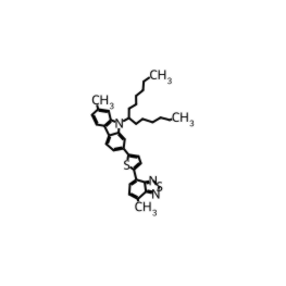 CCCCCCC(CCCCCC)n1c2cc(C)ccc2c2ccc(-c3ccc(-c4ccc(C)c5nsnc45)s3)cc21